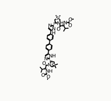 COC(=O)N[C@H](C(=O)N1C[Si](C)(C)C[C@H]1c1ncc(-c2ccc(-c3ccc(-c4cnc([C@@H]5C[Si](C)(C)CN5C(=O)[C@@H](NC(=O)OC)C(C)C)[nH]4)cc3)cc2)[nH]1)C(C)C